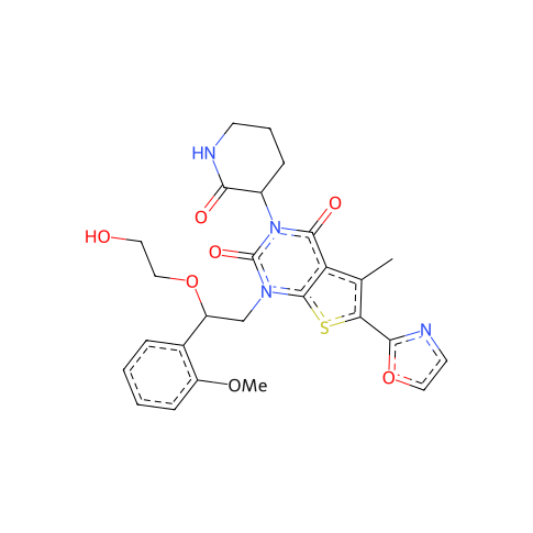 COc1ccccc1C(Cn1c(=O)n(C2CCCNC2=O)c(=O)c2c(C)c(-c3ncco3)sc21)OCCO